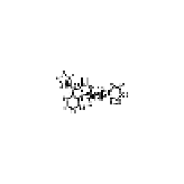 [Li][C]1=C(N2CCCC2)c2ccccc2C1[Si](C)(C)NCc1ccccc1